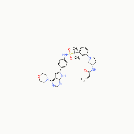 C=CC(=O)N[C@H]1CCN(c2cccc(C(C)(C)S(=O)(=O)Nc3ccc(-c4cc5c(N6CCOCC6)ncnc5[nH]4)cc3)c2)C1